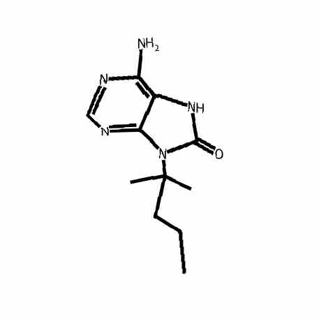 CCCC(C)(C)n1c(=O)[nH]c2c(N)ncnc21